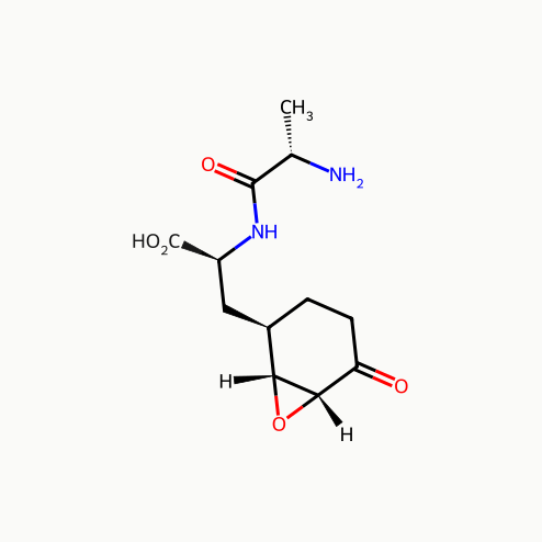 C[C@H](N)C(=O)N[C@@H](C[C@H]1CCC(=O)[C@@H]2O[C@H]12)C(=O)O